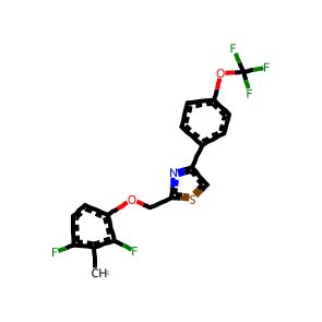 [CH]c1c(F)ccc(OCc2nc(-c3ccc(OC(F)(F)F)cc3)cs2)c1F